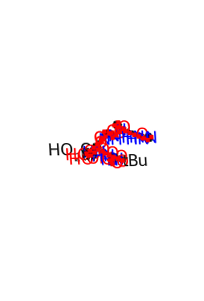 CN(CCON(C(=O)CCCCCCNC(=O)Nc1ccncc1)C1CCCCC1)C(=O)c1cccc(NC(=O)OCc2ccc(O[C@@H]3O[C@H](C(=O)O)[C@@H](O)[C@H](O)[C@H]3O)c(NC(=O)CCNC(=O)[C@H](CNC(=O)OC(C)(C)C)N3C(=O)C=CC3=O)c2)c1